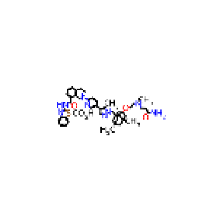 Cc1c(-c2ccc(N3CCc4cccc(C(=O)Nc5nc6ccccc6s5)c4C3)nc2C(=O)O)cnn1CC12CC3(C)CC(C)(C1)CC(OCCN(C)CCC(N)=O)(C3)C2